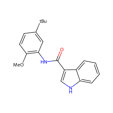 COc1ccc(C(C)(C)C)cc1NC(=O)c1c[nH]c2ccccc12